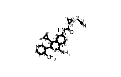 Cc1ccncc1-c1nc(N)c2cnc(NC(=O)[C@H]3C[C@@H]3CC#N)cc2c1C1CC1